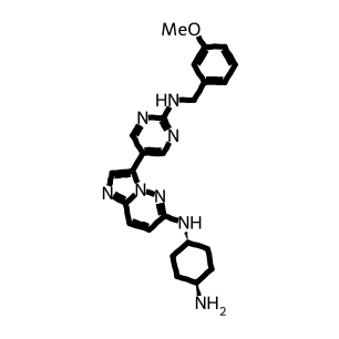 COc1cccc(CNc2ncc(-c3cnc4ccc(N[C@H]5CC[C@H](N)CC5)nn34)cn2)c1